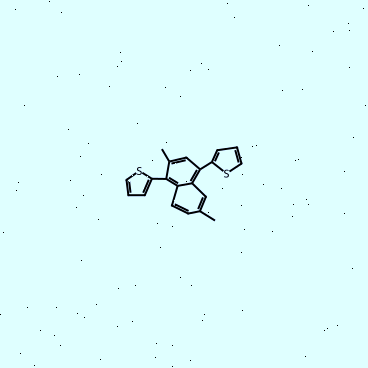 Cc1ccc2c(-c3cccs3)c(C)cc(-c3cccs3)c2c1